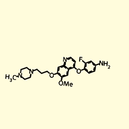 COc1cc2c(Oc3ccc(N)cc3F)ccnc2cc1OCCCN1CCN(C)CC1